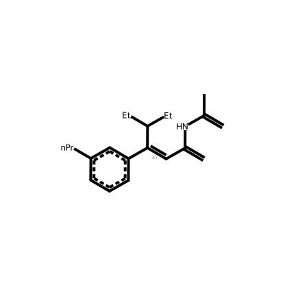 C=C(C)NC(=C)/C=C(/c1cccc(CCC)c1)C(CC)CC